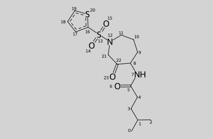 CC(C)CCC(=O)NC1CCCN(S(=O)(=O)c2cccs2)CC1=O